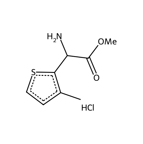 COC(=O)C(N)c1sccc1C.Cl